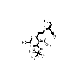 C/C=C(/C#N)O/C=C/[C@H](CCO)N(OC)C(=O)OC(C)(C)C